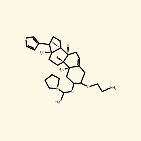 CC(OC1C[C@@]2(C)C(=CC[C@@H]3[C@H]2CC[C@]2(C)C(c4ccoc4)CC[C@@H]32)CC1OCCN)N1CCCC1